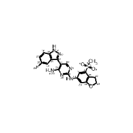 CS(=O)(=O)c1cc(Nc2ncc(-c3n[nH]c4ccc(F)cc34)c(N)n2)cc2c1CCO2